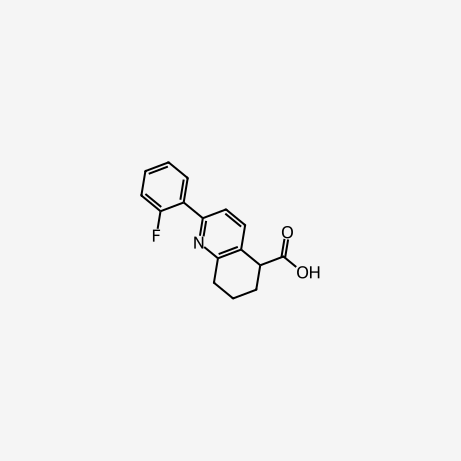 O=C(O)C1CCCc2nc(-c3ccccc3F)ccc21